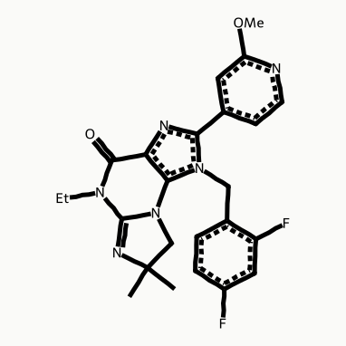 CCN1C(=O)c2nc(-c3ccnc(OC)c3)n(Cc3ccc(F)cc3F)c2N2CC(C)(C)N=C12